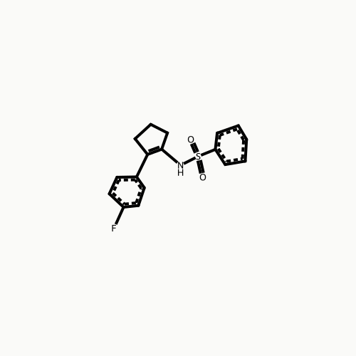 O=S(=O)(NC1=C(c2ccc(F)cc2)CCC1)c1ccccc1